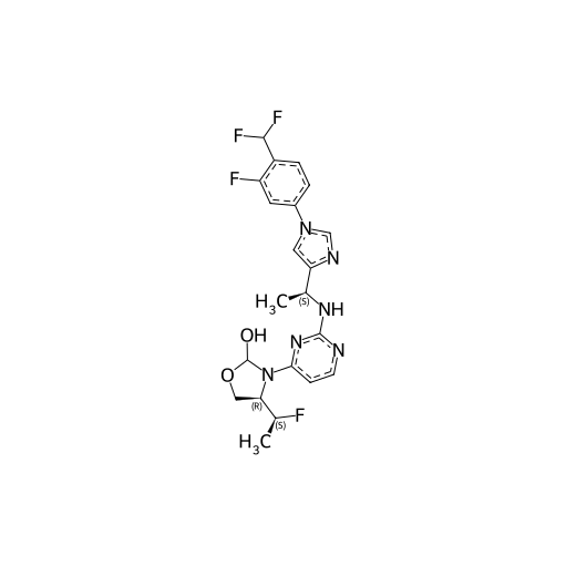 C[C@H](Nc1nccc(N2C(O)OC[C@@H]2[C@H](C)F)n1)c1cn(-c2ccc(C(F)F)c(F)c2)cn1